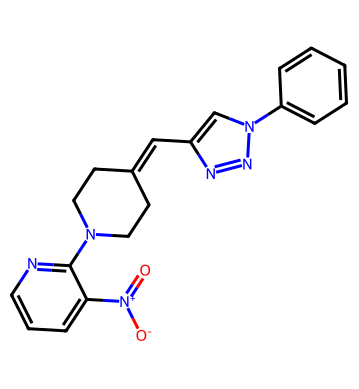 O=[N+]([O-])c1cccnc1N1CCC(=Cc2cn(-c3ccccc3)nn2)CC1